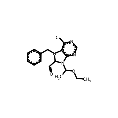 CCOC(C)N1c2ncnc(Cl)c2N(Cc2ccccc2)C1C=O